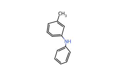 CC1=CC(Nc2ccccc2)=C=C=C1